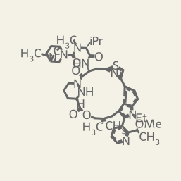 CCn1c(-c2cccnc2[C@H](C)OC)c2c3cc(ccc31)-c1csc(n1)C[C@H](NC(=O)[C@H](C(C)C)N(C)C(=O)N1CC3CCC1CN3C)C(=O)N1CCC[C@H](N1)C(=O)OCC(C)(C)C2